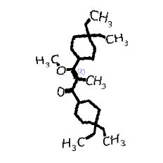 CCC1(CC)CCC(C(=O)/C(C)=C(\OC)C2CCC(CC)(CC)CC2)CC1